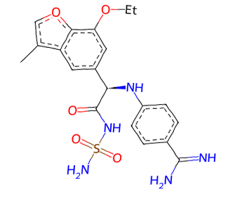 CCOc1cc([C@@H](Nc2ccc(C(=N)N)cc2)C(=O)NS(N)(=O)=O)cc2c(C)coc12